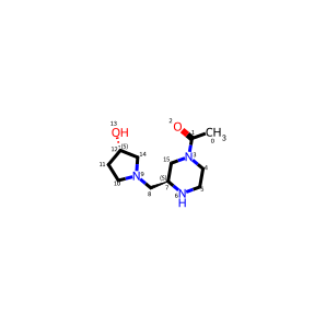 CC(=O)N1CCN[C@@H](CN2CC[C@H](O)C2)C1